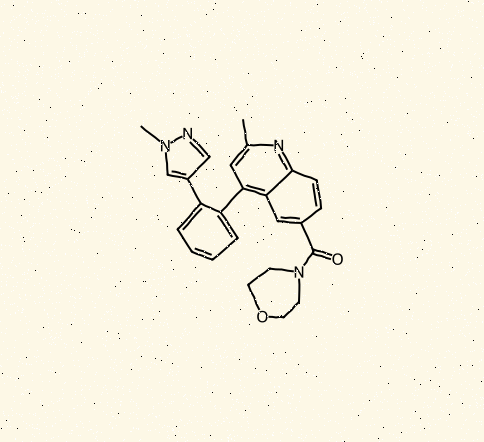 Cc1cc(-c2ccccc2-c2cnn(C)c2)c2cc(C(=O)N3CCOCC3)ccc2n1